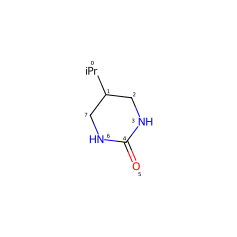 CC(C)C1CNC(=O)NC1